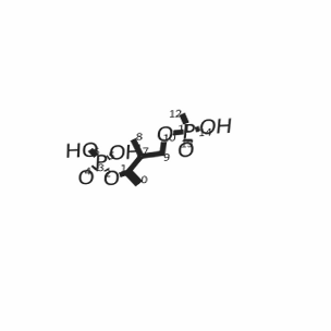 C=C(OP(=O)(O)O)C(C)COP(C)(=O)O